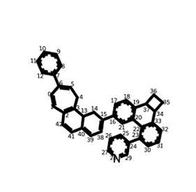 C1=CC2=C(CC=C1c1ccccc1)C1CC(c3ccc4c(c3)-c3c(-c5cccnc5)cccc3C3CCC43)=CC=C1C=C2